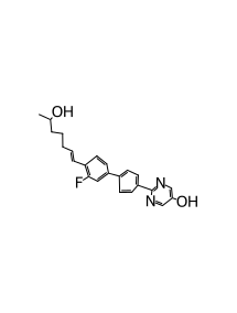 CC(O)CCCC=Cc1ccc(-c2ccc(-c3ncc(O)cn3)cc2)cc1F